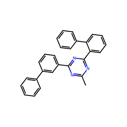 Cc1nc(-c2cccc(-c3ccccc3)c2)nc(-c2ccccc2-c2ccccc2)n1